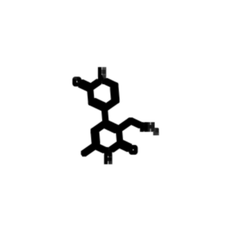 Cc1cc(-c2cc[nH]c(=O)c2)c(CN)c(=O)[nH]1